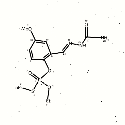 CCCSP(=O)(OCC)Oc1ccc(OC)cc1C=NNC(N)=O